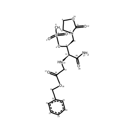 CS(=O)(=O)O[C@@H](CN1CCOC1=O)[C@H](NCC(=O)OCc1ccccc1)C(N)=O